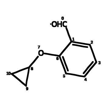 O=[C]c1ccccc1OC1CC1